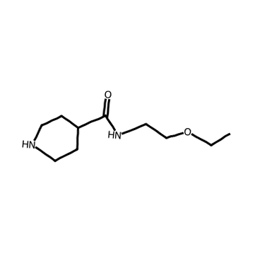 CCOCCNC(=O)C1CCNCC1